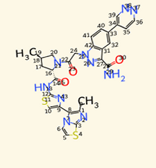 Cc1nc2sccn2c1-c1csc(NC(=O)[C@@H]2C[C@@H](C)CN2C(=O)Cn2nc(C(N)=O)c3cc(-c4ccnnc4)ccc32)n1